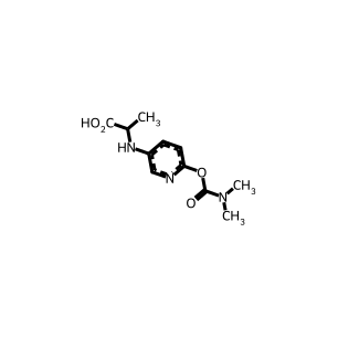 CC(Nc1ccc(OC(=O)N(C)C)nc1)C(=O)O